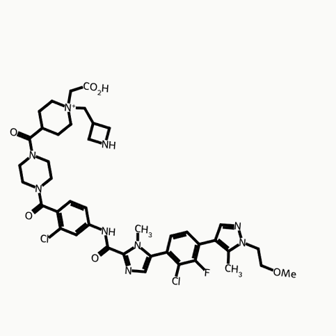 COCCn1ncc(-c2ccc(-c3cnc(C(=O)Nc4ccc(C(=O)N5CCN(C(=O)C6CC[N+](CC(=O)O)(CC7CNC7)CC6)CC5)c(Cl)c4)n3C)c(Cl)c2F)c1C